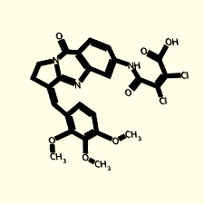 COc1ccc(/C=C2/CCn3c2nc2cc(NC(=O)/C(Cl)=C(/Cl)C(=O)O)ccc2c3=O)c(OC)c1OC